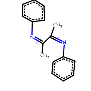 CC(=N/c1ccccc1)/C(C)=N\c1ccccc1